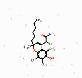 CCCCCCC1(C)C=C(C(Br)C(N)=O)c2c(C)c(O)c(C)c(C)c2O1